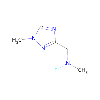 CN(F)Cc1ncn(C)n1